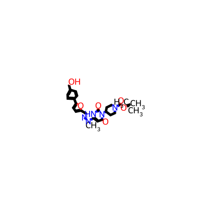 CN(/N=C/c1ccc(-c2ccc(CO)cc2)o1)c1cc(=O)n(C2CCN(C(=O)OC(C)(C)C)CC2)c(=O)[nH]1